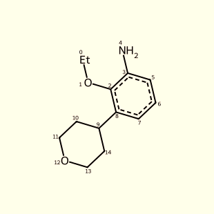 CCOc1c(N)cccc1C1CCOCC1